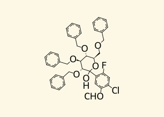 O=Cc1cc(C2(O)O[C@H](COCc3ccccc3)[C@@H](OCc3ccccc3)[C@H](OCc3ccccc3)[C@H]2OCc2ccccc2)c(F)cc1Cl